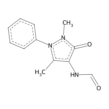 Cc1c(NC=O)c(=O)n(C)n1-c1ccccc1